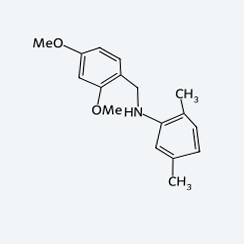 COc1ccc(CNc2cc(C)ccc2C)c(OC)c1